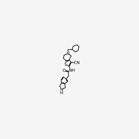 N#Cc1c(NC(=O)Cc2ccc3c(c2)CNC3)sc2c1CN(CC1CCCCC1)CC2